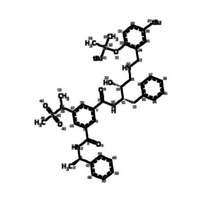 C[C@@H](NC(=O)c1cc(C(=O)N[C@@H](Cc2ccccc2)[C@H](O)CNCc2cc(C(C)(C)C)ccc2O[Si](C)(C)C(C)(C)C)cc(N(C)S(C)(=O)=O)c1)c1ccccc1